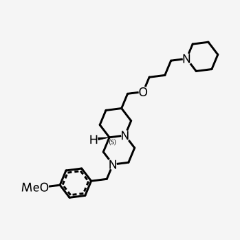 COc1ccc(CN2CCN3CC(COCCCN4CCCCC4)CC[C@H]3C2)cc1